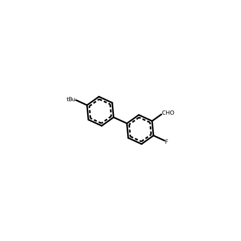 CC(C)(C)c1ccc(-c2ccc(F)c(C=O)c2)cc1